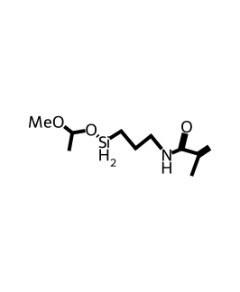 C=C(C)C(=O)NCCC[SiH2]OC(C)OC